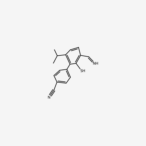 CC(C)c1ccc(C=N)c(S)c1-c1ccc(C#N)cc1